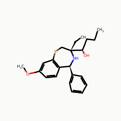 CCC[C@@H](O)[C@@]1(CC)CSc2cc(OC)ccc2[C@H](c2ccccc2)N1